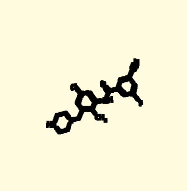 Cc1c(CN2CCNCC2)cc(Cl)cc1NC(=O)c1cc(F)cc(C#N)c1